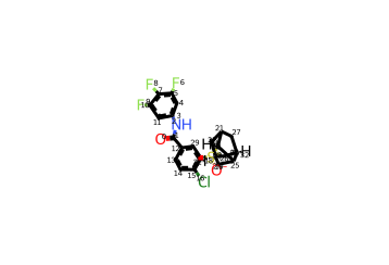 O=C(Nc1cc(F)c(F)c(F)c1)c1ccc(Cl)c([S+]([O-])[C@@H]2C3C[C@@H]4CC2[C@H](C3)C4)c1